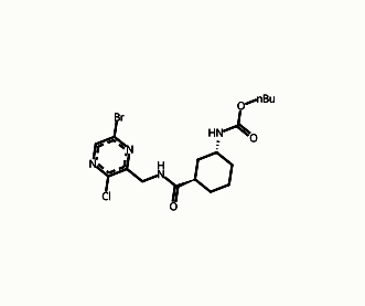 CCCCOC(=O)N[C@@H]1CCC[C@@H](C(=O)NCc2nc(Br)cnc2Cl)C1